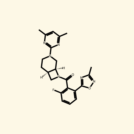 Cc1cc(C)nc(N2CC[C@@H]3CN(C(=O)c4c(F)cccc4-c4nc(C)no4)[C@@H]3C2)n1